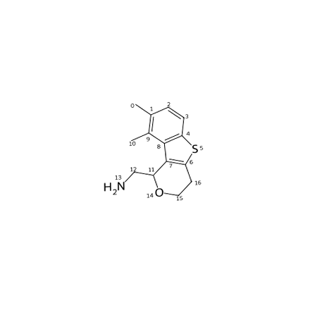 Cc1ccc2sc3c(c2c1C)C(CN)OCC3